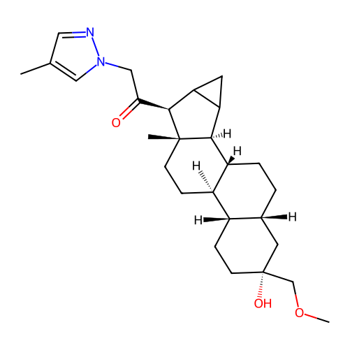 COC[C@@]1(O)CC[C@H]2[C@H](CC[C@@H]3[C@@H]2CC[C@]2(C)[C@@H](C(=O)Cn4cc(C)cn4)C4CC4[C@@H]32)C1